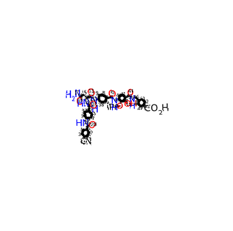 CC(C)Oc1c(NC(=O)c2ccc(NC(=O)[C@H](CC(N)=O)NC(=O)c3ccc(NC(=O)c4ccc(C#N)cc4)cc3)cc2)ccc(C(=O)NCc2ccc(C(=O)O)cc2)c1O